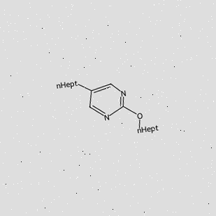 CCCCCCCOc1ncc(CCCCCCC)cn1